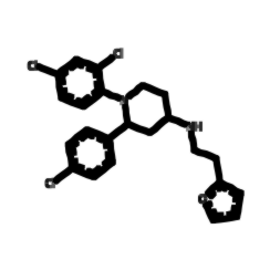 Clc1ccc(C2CC(NCCc3ccco3)CCN2c2ccc(Cl)cc2Cl)cc1